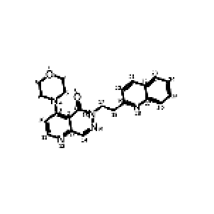 O=c1c2c(N3CCOCC3)ccnc2cnn1CCc1ccc2ccccc2n1